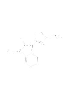 CSc1csc(-n2c(=O)n(OC(C)=O)c3ccccc32)n1